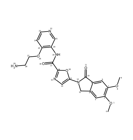 COc1cc2c(cc1OC)C(=O)N(c1cnc(C(=O)Nc3cnccc3OCCN)o1)C2